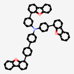 c1cc(-c2cccc3c2oc2ccccc23)cc(N(c2ccc(-c3ccc(-c4cccc5c4oc4ccccc45)cc3)cc2)c2ccc(-c3cccc4c3oc3ccccc34)cc2)c1